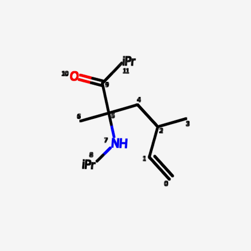 C=CC(C)CC(C)(NC(C)C)C(=O)C(C)C